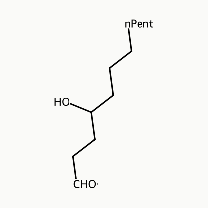 CCCCCCCCC(O)CC[C]=O